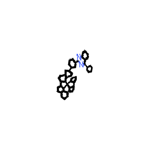 c1ccc(-c2nc(-c3cccc(-c4ccc5c6c(ccc5c4)-c4ccc5ccccc5c4C64c5ccccc5-c5ccccc54)c3)nc3ccccc23)cc1